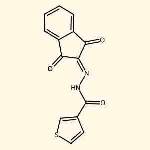 O=C(NN=c1c(=O)c2ccccc2c1=O)c1ccsc1